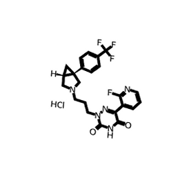 Cl.O=c1[nH]c(=O)n(CCCN2C[C@@H]3C[C@]3(c3ccc(C(F)(F)F)cc3)C2)nc1-c1cccnc1F